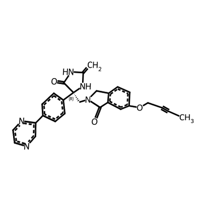 C=C1NC(=O)[C@](CN2Cc3ccc(OCC#CC)cc3C2=O)(c2ccc(-c3cnccn3)cc2)N1